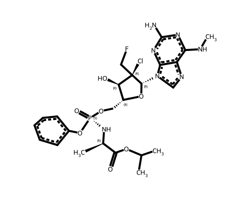 CNc1nc(N)nc2c1ncn2[C@@H]1O[C@H](CO[P@@](=O)(N[C@H](C)C(=O)OC(C)C)Oc2ccccc2)[C@@H](O)[C@]1(Cl)CF